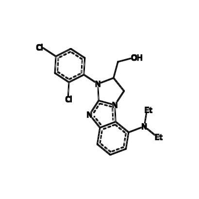 CCN(CC)c1cccc2nc3n(c12)CC(CO)N3c1ccc(Cl)cc1Cl